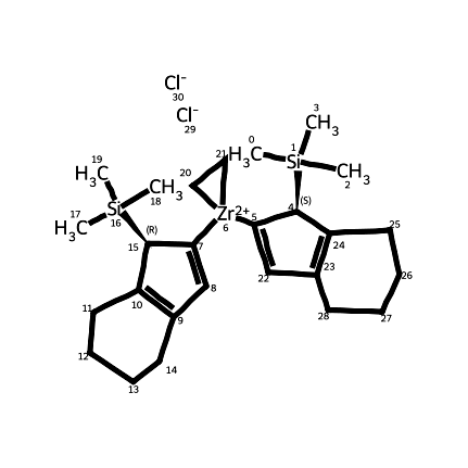 C[Si](C)(C)[C@@H]1[C]([Zr+2]2([C]3=CC4=C(CCCC4)[C@H]3[Si](C)(C)C)[CH2][CH2]2)=CC2=C1CCCC2.[Cl-].[Cl-]